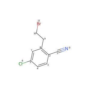 N#Cc1ccc(Cl)cc1CCBr